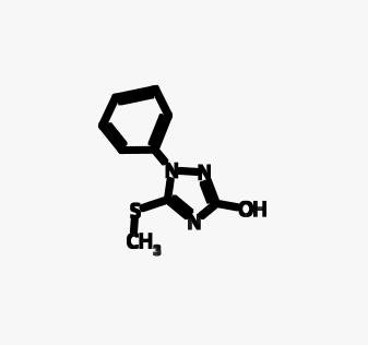 CSc1nc(O)nn1-c1ccccc1